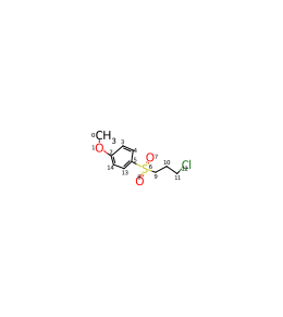 COc1ccc(S(=O)(=O)CCCCl)cc1